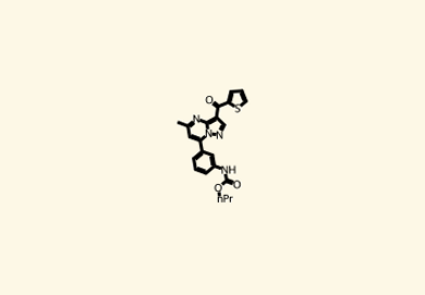 CCCOC(=O)Nc1cccc(-c2cc(C)nc3c(C(=O)c4cccs4)cnn23)c1